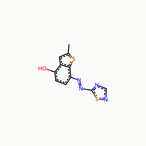 Cc1cc2c(O)ccc(/N=N/c3ncns3)c2s1